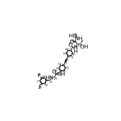 C[C@@H](O)[C@H](NC(=O)c1ccc(C#Cc2ccc(NC(=O)CNCc3cc(F)cc(F)c3)cc2)cc1)C(=O)NO